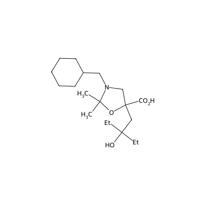 CCC(O)(CC)CC1(C(=O)O)CN(CC2CCCCC2)C(C)(C)O1